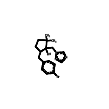 CC1(C)CCC(Cc2ccc(Br)cc2)C1(O)Cn1cncn1